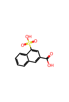 O=C(O)c1cc(S(=O)(=O)O)c2ccccc2c1